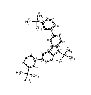 CC(C)(C)c1cccc(-c2ccc3c(c2)c2cc(-c4cccc(C(C)(C)C)c4)ccc2n3C(C)(C)C)c1